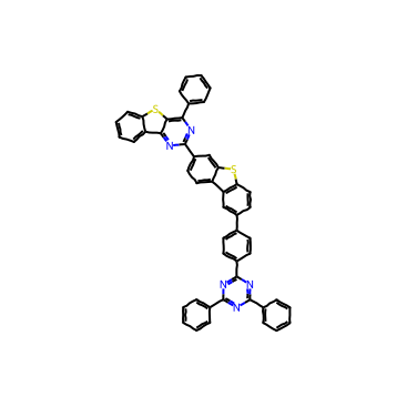 c1ccc(-c2nc(-c3ccccc3)nc(-c3ccc(-c4ccc5sc6cc(-c7nc(-c8ccccc8)c8sc9ccccc9c8n7)ccc6c5c4)cc3)n2)cc1